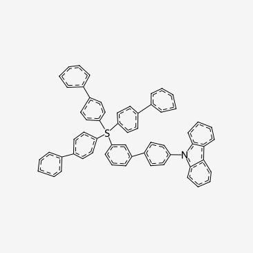 c1ccc(-c2ccc(S(c3ccc(-c4ccccc4)cc3)(c3ccc(-c4ccccc4)cc3)c3cccc(-c4ccc(-n5c6ccccc6c6ccccc65)cc4)c3)cc2)cc1